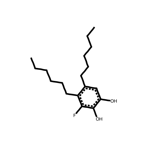 CCCCCCc1cc(O)c(O)c(F)c1CCCCCC